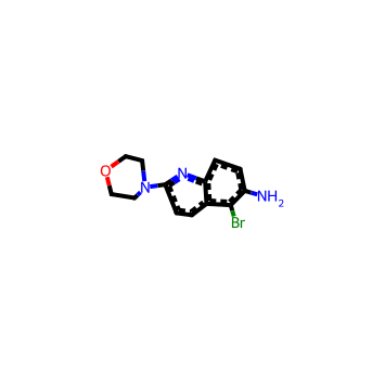 Nc1ccc2nc(N3CCOCC3)ccc2c1Br